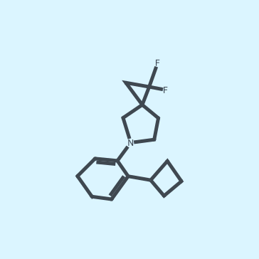 FC1(F)CC12CCN(C1=CC[CH]C=C1C1CCC1)C2